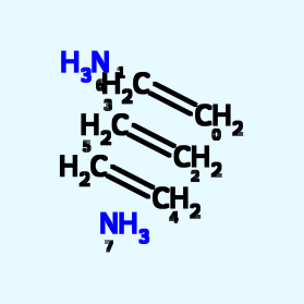 C=C.C=C.C=C.N.N